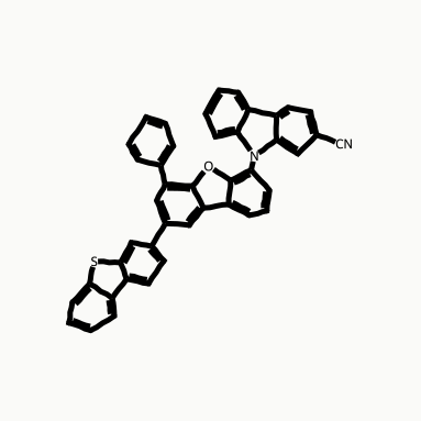 N#Cc1ccc2c3ccccc3n(-c3cccc4c3oc3c(-c5ccccc5)cc(-c5ccc6c(c5)sc5ccccc56)cc34)c2c1